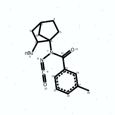 CCCCC1CC2CCC1(N(N=C=O)C(=O)c1cccc(C)c1)C2